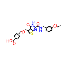 CCOc1cccc(CNC(=O)c2nc3scc(COCc4ccc(C(=O)O)cc4)c3c(=O)[nH]2)c1